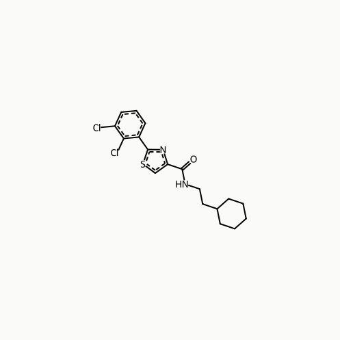 O=C(NCCC1CCCCC1)c1csc(-c2cccc(Cl)c2Cl)n1